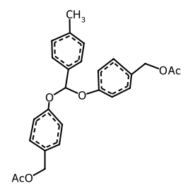 CC(=O)OCc1ccc(OC(Oc2ccc(COC(C)=O)cc2)c2ccc(C)cc2)cc1